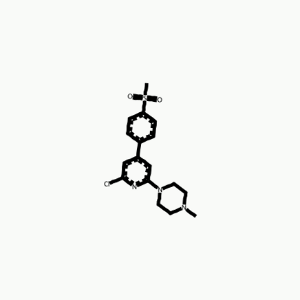 CN1CCN(c2cc(-c3ccc(S(C)(=O)=O)cc3)cc(Cl)n2)CC1